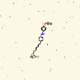 CCCCCCCCCCCCCCCCCCc1ccc(C=Nc2ccc(OCCCC)cc2)cc1